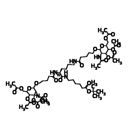 CC(=O)NC1C(OCCCCC(=O)NCCCC[C@H](NC(=O)CCCCOC2OC(COC(C)=O)C(OC(C)=O)C3(OC(C)=O)C2N3C(C)=O)C(=O)NCCCCCC(=O)OC(C)(C)C)OC(COC(C)=O)C(OC(C)=O)C1OC(C)=O